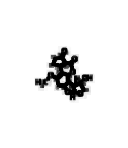 COc1cc2c(c3oc(=O)c4c(c13)CCC4=O)[C@H]1[C@H](OC[C@@H]1O)O2